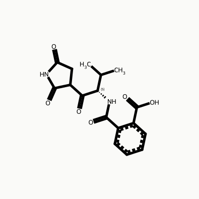 CC(C)[C@H](NC(=O)c1ccccc1C(=O)O)C(=O)C1CC(=O)NC1=O